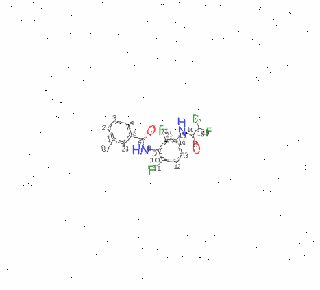 Cc1cccc(C(=O)Nc2c(F)ccc(NC(=O)C(F)F)c2F)c1